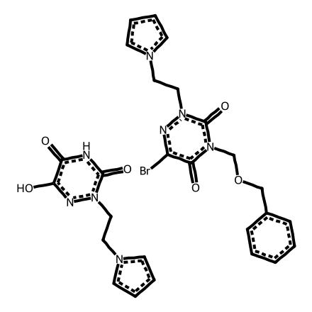 O=c1[nH]c(=O)n(CCn2cccc2)nc1O.O=c1c(Br)nn(CCn2cccc2)c(=O)n1COCc1ccccc1